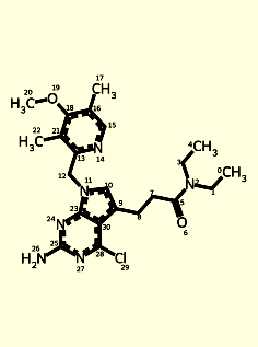 CCN(CC)C(=O)CCc1cn(Cc2ncc(C)c(OC)c2C)c2nc(N)nc(Cl)c12